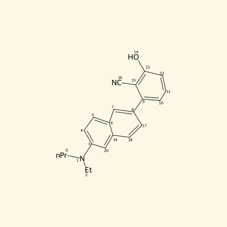 CCCN(CC)c1ccc2cc(-c3cccc(O)c3C#N)ccc2c1